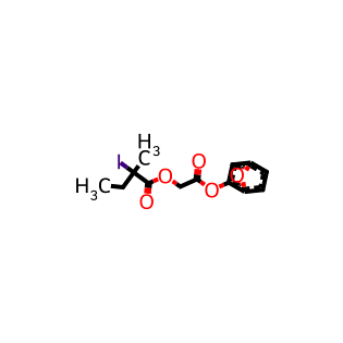 CCC(C)(I)C(=O)OCC(=O)Oc1cc2ccc1o2